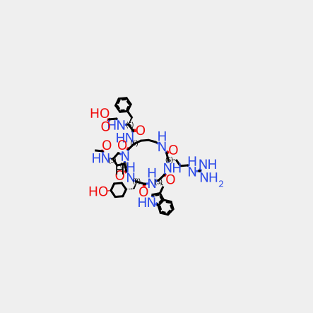 CC(=O)N[C@H]1C[C@H]2C(=O)N[C@H](C[C@H]3CC[C@@H](O)CC3)C(=O)N[C@@H](Cc3c[nH]c4ccccc34)C(=O)N[C@@H](CCCNC(=N)N)C(=O)NCCC[C@H](NC(=O)[C@H](Cc3ccccc3)NCC(=O)O)C(=O)N2C1